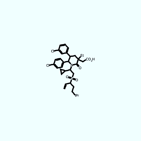 C=CC(CCC(C)C)S(=O)(=O)CC(C1CC1)N1C(=O)C(CC)(CC(=O)O)CC(c2cccc(Cl)c2)C1c1ccc(Cl)cc1